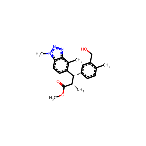 COC(=O)[C@@H](C)[C@@H](c1ccc(C)c(CO)c1)c1ccc2c(nnn2C)c1C